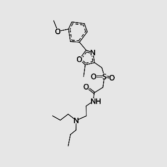 CCCN(CCC)CCNC(=O)CS(=O)(=O)Cc1nc(-c2cccc(OC)c2)oc1C